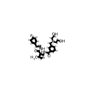 Cc1csc(NC(=O)c2cccc(CN(CCO)CCO)c2)c1C(=O)N/N=C/c1ccc(F)cc1